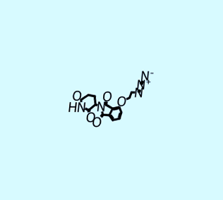 [N-]=[N+]=NCCOc1cccc2c1C(=O)N(C1CCC(=O)NC1=O)C2=O